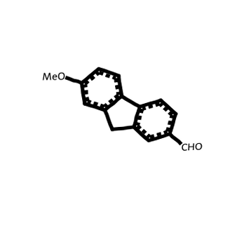 COc1ccc2c(c1)Cc1cc(C=O)ccc1-2